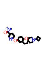 CN(C)C(=O)c1ccc(Oc2ccc3c(c2)CCC2(CCN(C4CCC4)CC2)O3)nc1